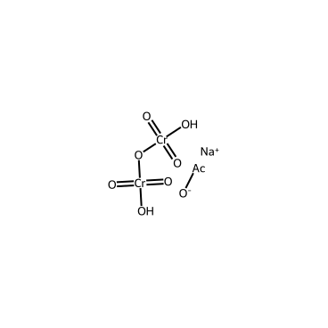 CC(=O)[O-].[Na+].[O]=[Cr](=[O])([OH])[O][Cr](=[O])(=[O])[OH]